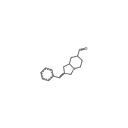 O=CC1CCN2CC(=Cc3ccccc3)CC2C1